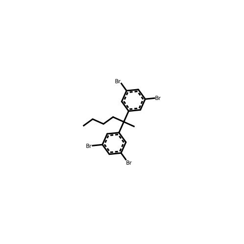 CCCCC(C)(c1cc(Br)cc(Br)c1)c1cc(Br)cc(Br)c1